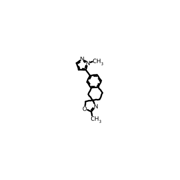 CC1=NC2(CCc3ccc(-c4ccnn4C)cc3C2)CO1